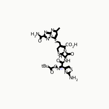 Cc1cc(SCC2=C(C(=O)O)N3C(=O)[C@@H](NC(=O)/C(=N\OC(=O)C(C)(C)C)c4csc(N)n4)[C@H]3SC2)n2nc(C(N)=O)nc2n1